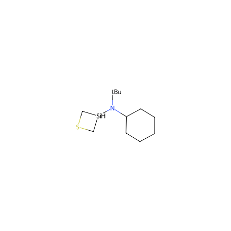 CC(C)(C)N(C1CCCCC1)[SiH]1CSC1